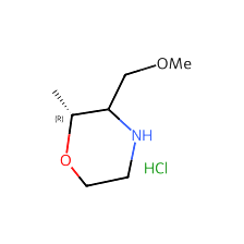 COCC1NCCO[C@@H]1C.Cl